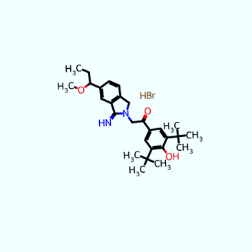 Br.CCC(OC)c1ccc2c(c1)C(=N)N(CC(=O)c1cc(C(C)(C)C)c(O)c(C(C)(C)C)c1)C2